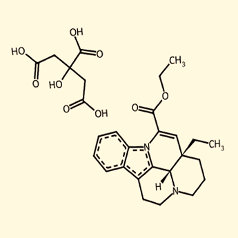 CCOC(=O)C1=C[C@]2(CC)CCCN3CCc4c(n1c1ccccc41)[C@@H]32.O=C(O)CC(O)(CC(=O)O)C(=O)O